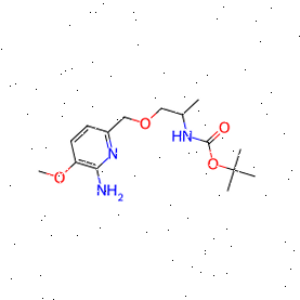 COc1ccc(COCC(C)NC(=O)OC(C)(C)C)nc1N